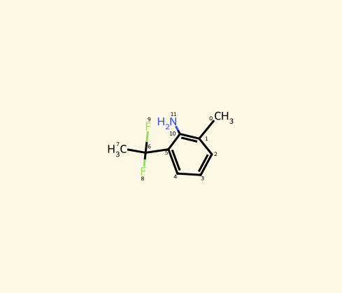 Cc1cccc(C(C)(F)F)c1N